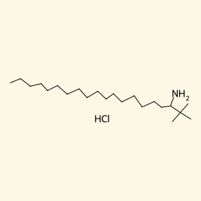 CCCCCCCCCCCCCCCCCC(N)C(C)(C)C.Cl